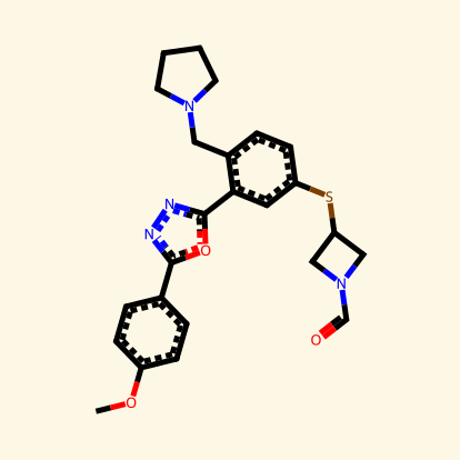 COc1ccc(-c2nnc(-c3cc(SC4CN(C=O)C4)ccc3CN3CCCC3)o2)cc1